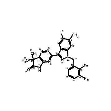 Cc1nc2c(cc1I)c(-c1nnc3c(n1)NC(=O)C3(C)C)nn2Cc1cccc(F)c1F